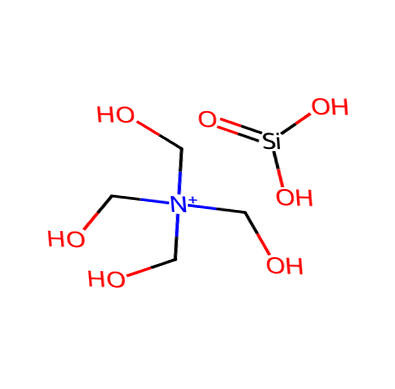 O=[Si](O)O.OC[N+](CO)(CO)CO